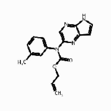 C=CCOC(=O)N(c1cccc(C)c1)c1cnc2[nH]ccc2n1